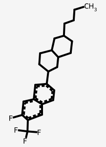 CCCCC1CCC2CC(c3ccc4cc(C(F)(F)F)c(F)cc4c3)CCC2C1